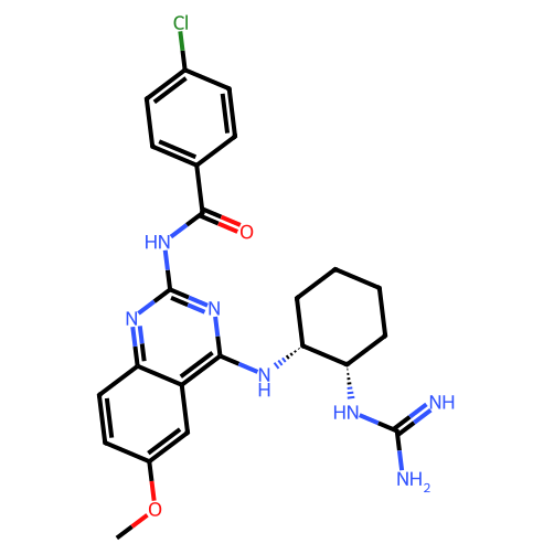 COc1ccc2nc(NC(=O)c3ccc(Cl)cc3)nc(N[C@@H]3CCCC[C@@H]3NC(=N)N)c2c1